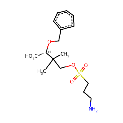 CC(C)(COS(=O)(=O)CCCN)[C@@H](OCc1ccccc1)C(=O)O